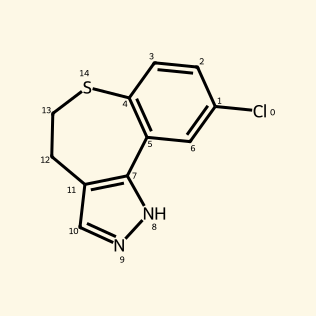 Clc1ccc2c(c1)-c1[nH]ncc1CCS2